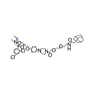 C/C=C\N(CC)C[C@]1(c2ccc(Cl)cc2Cl)OC[C@H](COc2ccc(N3CCN(C(=O)COCCOCCNC(=O)CC45CC6CC7CC(C4)C5(C7)C6)CC3)cc2)O1